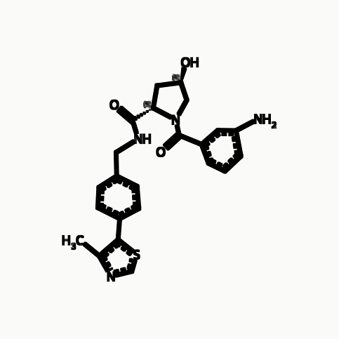 Cc1ncsc1-c1ccc(CNC(=O)[C@@H]2C[C@@H](O)CN2C(=O)c2cccc(N)c2)cc1